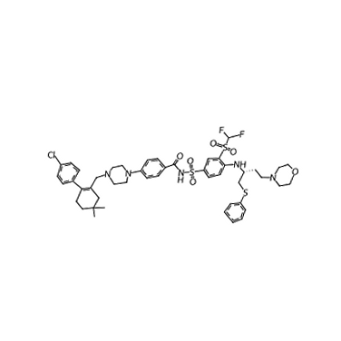 CC1(C)CCC(c2ccc(Cl)cc2)=C(CN2CCN(c3ccc(C(=O)NS(=O)(=O)c4ccc(N[C@H](CCN5CCOCC5)CSc5ccccc5)c(S(=O)(=O)C(F)F)c4)cc3)CC2)C1